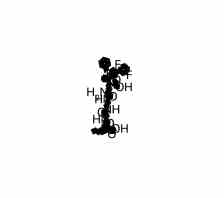 C=CCC(C)(C)C(C)(CC(=O)O)CC(=O)NCC(=O)NCCNC(=O)[C@@H](N)CCN(C(=O)CO)[C@@H](c1cc(-c2cc(F)ccc2F)cn1Cc1ccccc1)C(C)(C)C